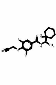 C#CCOc1c(F)cc(C(=O)NC(C)C2(O)CCCCC2)cc1F